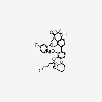 COc1c(-c2ccc3c(c2COc2cc(F)ccc2C)N(C)C(=O)C(C)(C)N3)ccc(N2CCCCC2)c1OS(=O)(=O)CCCCl